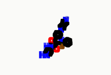 CN1CC2CN(c3ccc4c(=O)c(C(=O)NC5CCNCC5)c5sc6ccccc6n5c4c3)CC2C1